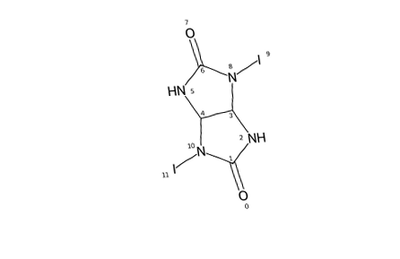 O=C1NC2C(NC(=O)N2I)N1I